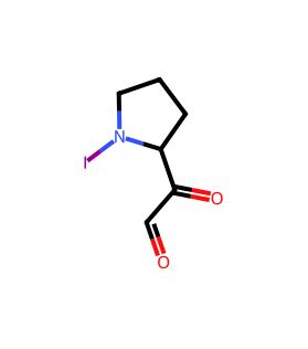 O=CC(=O)C1CCCN1I